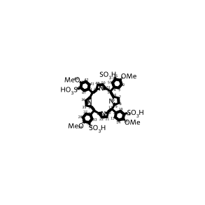 COc1ccc(C2=C3C=CC(=N3)C(c3ccc(OC)c(S(=O)(=O)O)c3)=C3C=CC(=N3)C(c3ccc(OC)c(S(=O)(=O)O)c3)=C3C=CC(=N3)C(c3ccc(OC)c(S(=O)(=O)O)c3)=C3C=CC2=N3)cc1S(=O)(=O)O